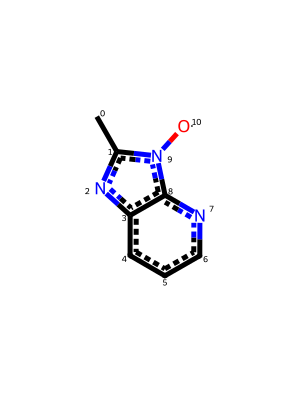 Cc1nc2cccnc2n1[O]